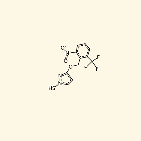 O=[N+]([O-])c1cccc(C(F)(F)F)c1COc1ccn(S)n1